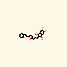 O=C1C(=Cc2cc3oc(-c4cc5ccccc5s4)cc3s2)C(=O)c2cc(Cl)c(Cl)cc21